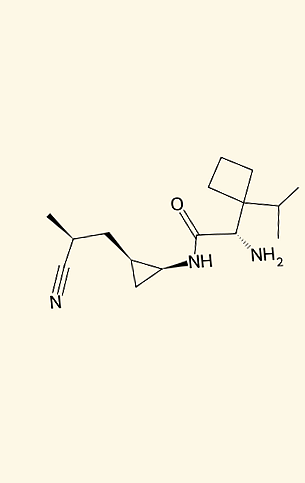 CC(C)C1([C@H](N)C(=O)N[C@H]2C[C@H]2C[C@H](C)C#N)CCC1